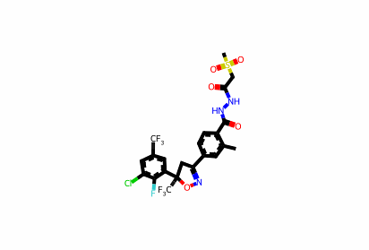 Cc1cc(C2=NOC(c3cc(C(F)(F)F)cc(Cl)c3F)(C(F)(F)F)C2)ccc1C(=O)NNC(=O)CS(C)(=O)=O